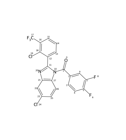 O=C(c1ccc(F)c(F)c1)n1c(-c2cccc(C(F)(F)F)c2Cl)nc2cc(Cl)ccc21